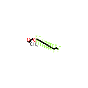 CC1COC1COC(F)C(F)(F)C(F)(F)C(F)(F)C(F)(F)C(F)(F)C(F)(F)C(F)(F)C(F)(F)C(F)C(F)C(F)F